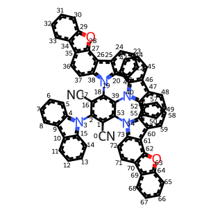 N#Cc1c(-n2c3ccccc3c3ccccc32)c(C#N)c(-n2c3ccccc3c3c4oc5ccccc5c4ccc32)c(-n2c3ccccc3c3ccccc32)c1-n1c2ccccc2c2c3oc4ccccc4c3ccc21